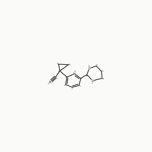 N#CC1(c2cccc(C3OCCCO3)n2)CC1